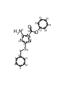 Nc1nc(SCc2ccccc2)nn1C(=O)Oc1ccccc1